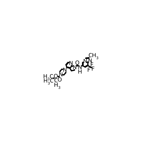 Cc1cn2cc(NC(=O)N3CCc4c(N5CCN(C(=O)OC(C)(C)C)CC5)ccnc43)cc(C(F)(F)F)c2n1